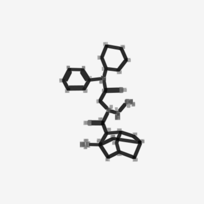 CNN(CC(=O)N(c1ccccc1)C1CCCCC1)C(=O)C1C2CC3CC(C2)CC1(C)C3